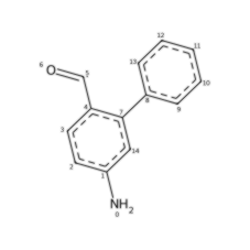 Nc1ccc([C]=O)c(-c2ccccc2)c1